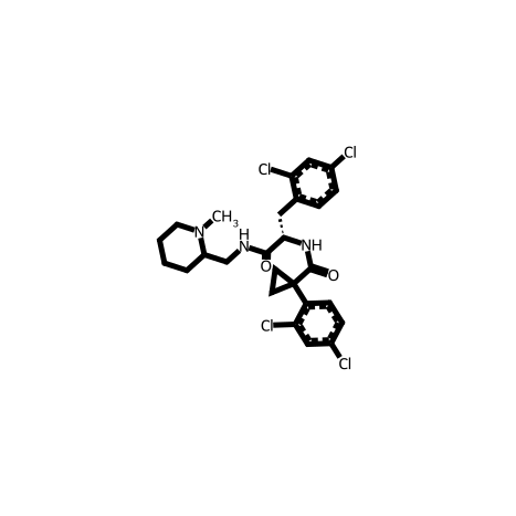 CN1CCCCC1CNC(=O)[C@H](Cc1ccc(Cl)cc1Cl)NC(=O)C1(c2ccc(Cl)cc2Cl)CC1